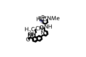 C=C(C#N)CNc1c(C(N)=O)ccc2ccc(-c3cccc(C(=O)NC(C/C=C/CCC)CC(C)NC)n3)cc12